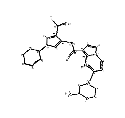 CC1CN(c2ccn3ncc(C(=O)Nc4cn(C5CCCCC5)nc4C(F)F)c3n2)CCO1